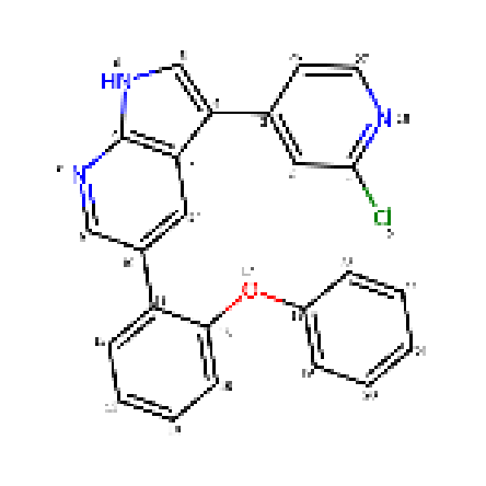 Clc1cc(-c2c[nH]c3ncc(-c4ccccc4Oc4ccccc4)cc23)ccn1